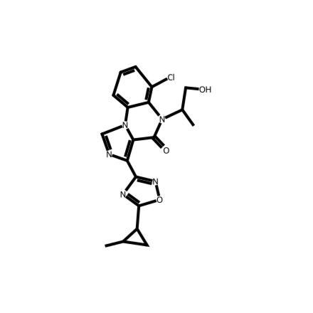 CC1CC1c1nc(-c2ncn3c2c(=O)n(C(C)CO)c2c(Cl)cccc23)no1